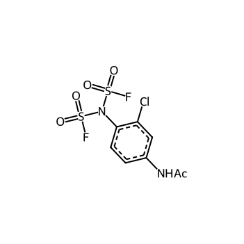 CC(=O)Nc1ccc(N(S(=O)(=O)F)S(=O)(=O)F)c(Cl)c1